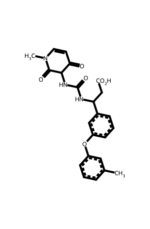 Cc1cccc(Oc2cccc(C(CC(=O)O)NC(=O)NC3C(=O)C=CN(C)C3=O)c2)c1